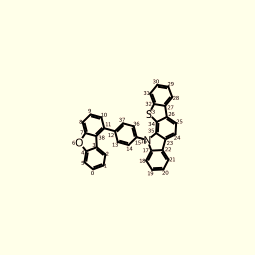 c1ccc2c(c1)oc1cccc(-c3ccc(-n4c5ccccc5c5ccc6c7ccccc7sc6c54)cc3)c12